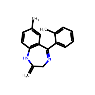 C=C1CN=C(c2ccccc2C)c2cc(C)ccc2N1